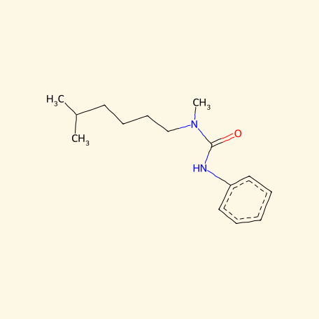 CC(C)CCCCN(C)C(=O)Nc1ccccc1